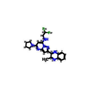 Cc1nc2ccccc2nc1-c1cc2nc(N3CCCC3)cc(NCC(F)F)n2n1